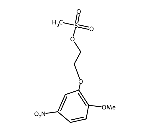 COc1ccc([N+](=O)[O-])cc1OCCOS(C)(=O)=O